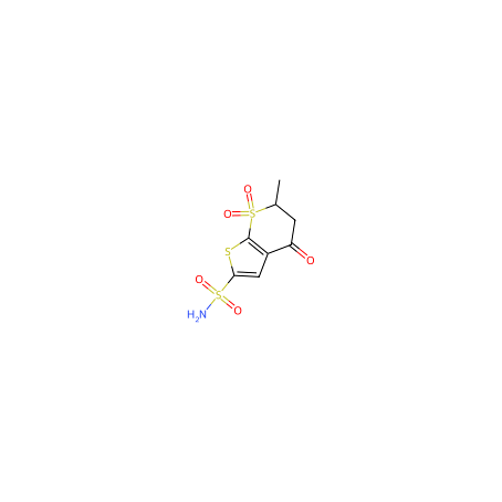 CC1CC(=O)c2cc(S(N)(=O)=O)sc2S1(=O)=O